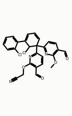 COc1nc(C2(c3ccc(C=O)c(OCC#N)n3)C=CC=C(c3ccccc3Cl)C2Cl)ccc1C=O